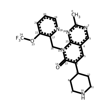 Cc1ncc2cc(C3CCNCC3)c(=O)n(Cc3ncccc3OC(F)(F)F)c2n1